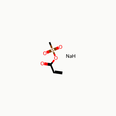 C=CC(=O)OS(C)(=O)=O.[NaH]